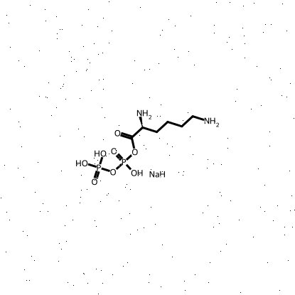 NCCCC[C@H](N)C(=O)OP(=O)(O)OP(=O)(O)O.[NaH]